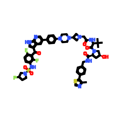 Cc1ncsc1-c1ccc(CNC(=O)[C@@H]2C[C@@H](O)CN2C(=O)C(NC(=O)CN2CC(N3CCN(c4ccc(-c5cnc6[nH]cc(C(=O)c7c(F)ccc(NS(=O)(=O)N8CCC(F)C8)c7F)c6c5)cc4)CC3)C2)C(C)(C)C)cc1